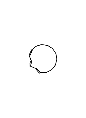 [C]1=C/C=C/C=C/CCCCCCCCC\1